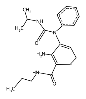 CCCNC(=O)C1=C(N)C(N(C(=O)NC(C)C)c2ccccc2)=CC[CH]1